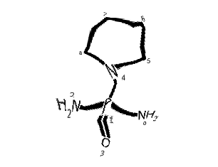 NP(N)(=O)N1CCCC1